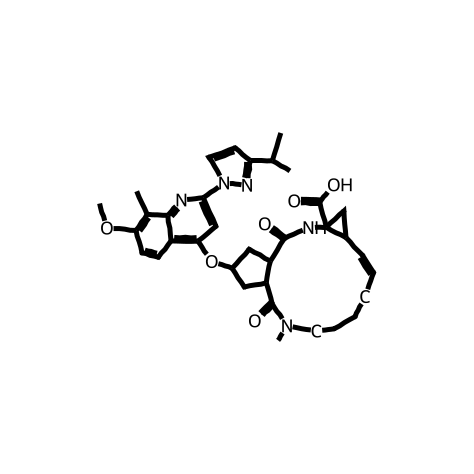 COc1ccc2c(OC3CC4C(=O)NC5(C(=O)O)CC5C=CCCCCN(C)C(=O)C4C3)cc(-n3ccc(C(C)C)n3)nc2c1C